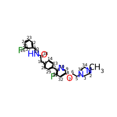 CN1CCN(CCOc2cnc(-c3ccc(CC(=O)NCc4cccc(F)c4)cc3)c(F)c2)CC1